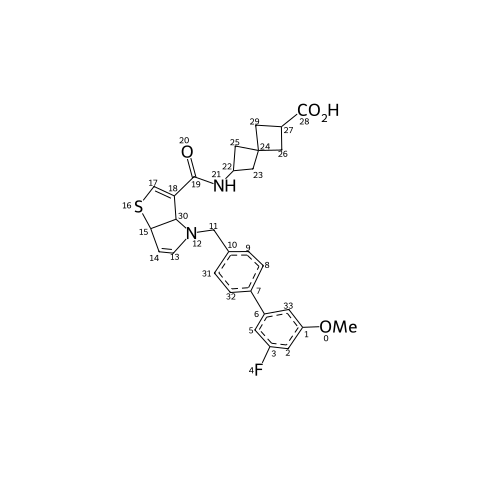 COc1cc(F)cc(-c2ccc(CN3C=CC4SC=C(C(=O)NC5CC6(C5)CC(C(=O)O)C6)C43)cc2)c1